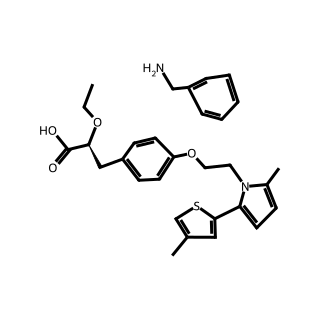 CCO[C@@H](Cc1ccc(OCCn2c(C)ccc2-c2cc(C)cs2)cc1)C(=O)O.NCc1ccccc1